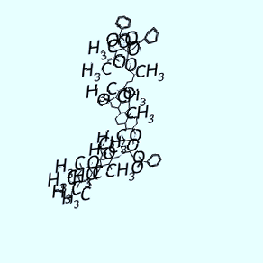 CCC1O[C@@H](O[C@@H]2C(CC)O[C@@H](C[C@H]3C(COC(=O)c4ccccc4)O[C@@H](OC4CCC5(C)C(CCC6C5CCC5(C)C6CC(=O)C5[C@H](C)C(=O)CC[C@H](C)CO[C@@H]5OC(CC)[C@H](C)[C@H](OC(=O)c6ccccc6)C5OC(=O)c5ccccc5)C4)C(C)[C@H]3C)C(C)[C@H]2C)C(C)[C@@H](C)[C@@H]1C